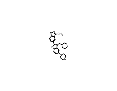 Cc1noc2ccc(-c3nc4ccc(N5CCOCC5)cc4n3CC3CCCCC3)cc12